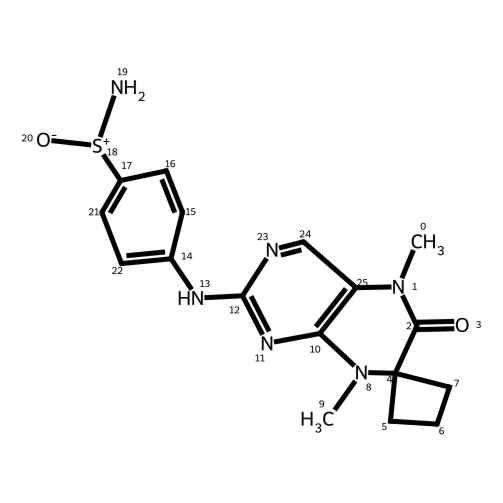 CN1C(=O)C2(CCC2)N(C)c2nc(Nc3ccc([S+](N)[O-])cc3)ncc21